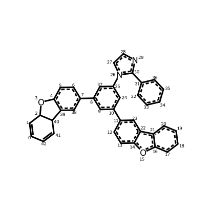 C1=CC2Oc3ccc(-c4cc(-c5ccc6oc7ccccc7c6c5)cc(-n5ccnc5-c5ccccc5)c4)cc3C2C=C1